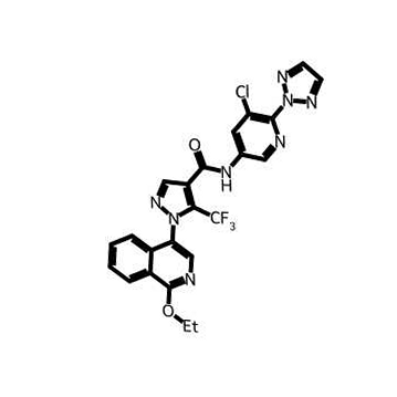 CCOc1ncc(-n2ncc(C(=O)Nc3cnc(-n4nccn4)c(Cl)c3)c2C(F)(F)F)c2ccccc12